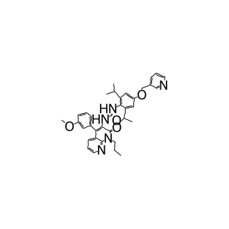 CCCn1c(=O)c(NC(=O)Nc2c(C(C)C)cc(OCc3cccnc3)cc2C(C)C)c(-c2cccc(OC)c2)c2cccnc21